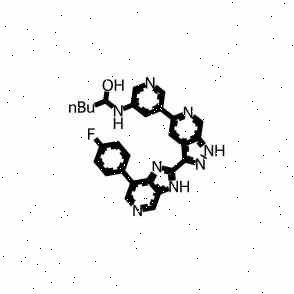 CCCCC(O)Nc1cncc(-c2cc3c(-c4nc5c(-c6ccc(F)cc6)cncc5[nH]4)n[nH]c3cn2)c1